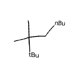 CCCCCC(C)(C)C(C)(C)C